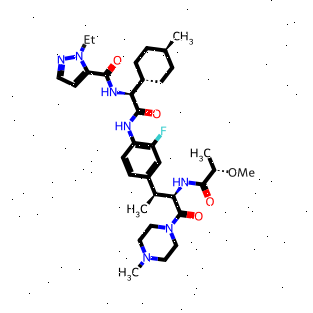 CCn1nccc1C(=O)N[C@H](C(=O)Nc1ccc([C@H](C)[C@@H](NC(=O)[C@H](C)OC)C(=O)N2CCN(C)CC2)cc1F)[C@H]1CC[C@H](C)CC1